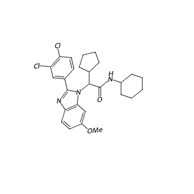 COc1ccc2nc(-c3ccc(Cl)c(Cl)c3)n(C(C(=O)NC3CCCCC3)C3CCCC3)c2c1